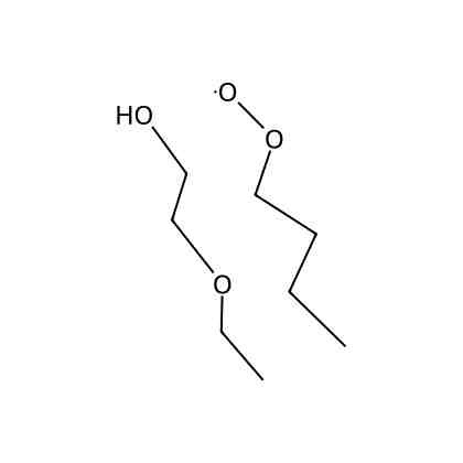 CCCCO[O].CCOCCO